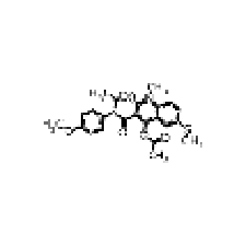 COc1ccc(N(C(C)=O)C(=O)c2c(OC(C)=O)c3cc(SC)ccc3n(C)c2=O)cc1